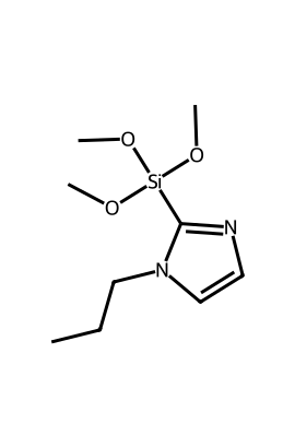 CCCn1ccnc1[Si](OC)(OC)OC